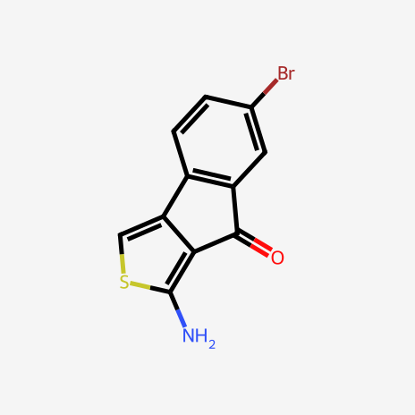 Nc1scc2c1C(=O)c1cc(Br)ccc1-2